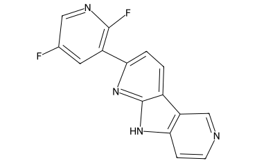 Fc1cnc(F)c(-c2ccc3c(n2)[nH]c2ccncc23)c1